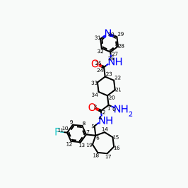 NC(C(=O)NCC1(c2ccc(F)cc2)CCCCCC1)C1CCC(C(=O)Nc2ccncc2)CC1